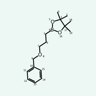 CC1(C)OB(CCCOCc2ccccc2)OC1(C)C